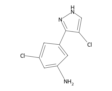 Nc1cc(Cl)cc(-c2n[nH]cc2Cl)c1